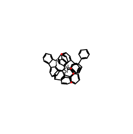 c1ccc(-c2ccccc2-n2c3cccc(-c4ccccc4)c3c3cccc(-n4c5ccccc5c5cccc([Si](c6ccccc6)(c6ccccc6)c6ccccc6)c54)c32)cc1